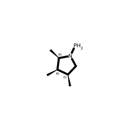 C[C@@H]1[C@H](C)CN(P)[C@@H]1C